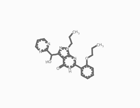 CCCOc1ccccc1-c1nc2c(c(C(O)c3ncccn3)nn2CCC)c(=O)[nH]1